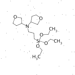 CCO[Si](CCCN(C1CCOC1)C1CCOC1)(OCC)OCC